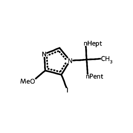 CCCCCCCC(C)(CCCCC)n1cnc(OC)c1I